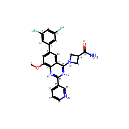 COc1cc(-c2cc(F)cc(F)c2)cc2c(N3CC(C(N)=O)C3)nc(-c3cccnc3)nc12